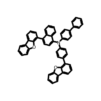 c1ccc(-c2ccc(N(c3ccc(-c4cccc5c4oc4ccccc45)cc3)c3ccc(-c4cccc5c4oc4ccccc45)c4ccccc34)cc2)cc1